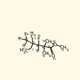 CCC(C)(C(F)(F)F)C(F)(F)C(C)(C)C(=O)OC